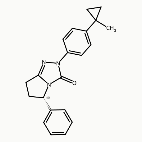 CC1(c2ccc(-n3nc4n(c3=O)[C@H](c3ccccc3)CC4)cc2)CC1